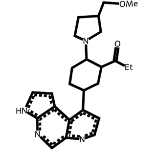 CCC(=O)C1CC(c2ccnc3cnc4[nH]ccc4c23)CCC1N1CCC(COC)C1